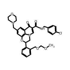 COCOCc1ccccc1C1Cn2cc(C(=O)NCc3ccc(Cl)cc3)c(=O)c3cc(CN4CCOCC4)cc(c32)O1